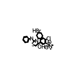 Br.CN(C)S(=O)(=O)c1cc(C2(O)CSC(=Nc3ccccc3)N2C2CCCCC2)ccc1Cl